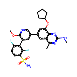 CNc1nc(C)c2cc(-c3cnc(OC)c(-c4c(F)ccc(S(N)(=O)=O)c4F)c3)cc(OC3CCCC3)c2n1